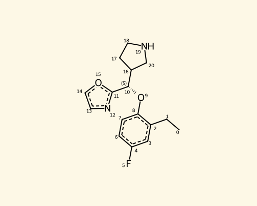 CCc1cc(F)ccc1O[C@H](c1ncco1)C1CCNC1